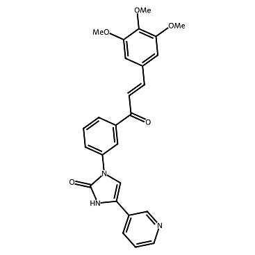 COc1cc(C=CC(=O)c2cccc(-n3cc(-c4cccnc4)[nH]c3=O)c2)cc(OC)c1OC